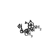 Cn1nc(-c2cn(C(C3CC3)C3CC3)c(=O)c3c(N)n[nH]c23)cc1N1CCC[C@H]1Cn1cccn1